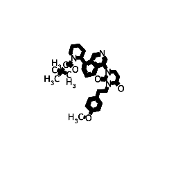 COc1ccc(CCN2C(=O)CCN(c3cncc4c(C5CCCCN5C(=O)OC(C)(C)C)cccc34)C2=O)cc1